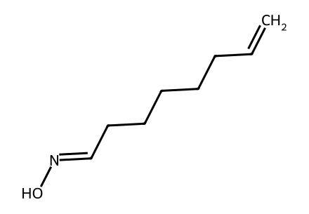 C=CCCCCCC=NO